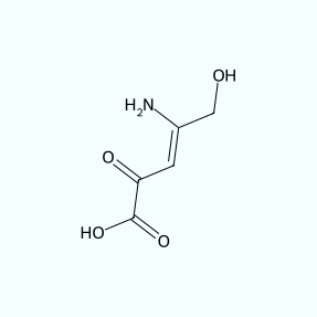 N/C(=C\C(=O)C(=O)O)CO